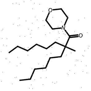 CCCCCCC(C)(CCCCCC)C(=O)N1CCOCC1